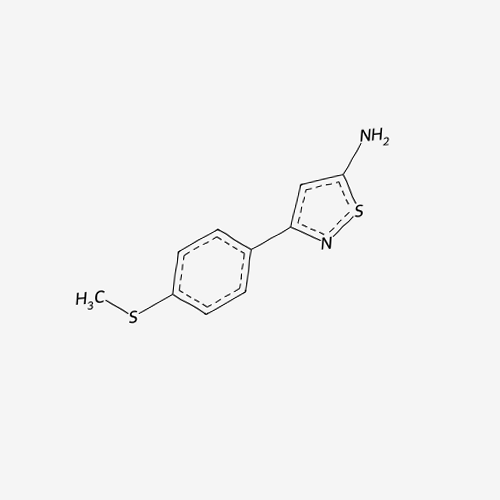 CSc1ccc(-c2cc(N)sn2)cc1